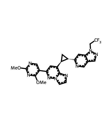 COc1ncc(-c2cc([C@H]3C[C@@H]3c3cc4c(cn3)cnn4CC(F)(F)F)c3nccn3n2)c(OC)n1